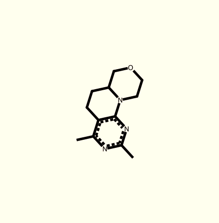 Cc1nc(C)c2c(n1)N1CCOCC1CC2